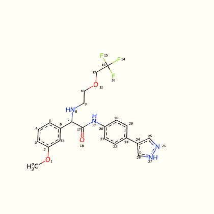 COc1cccc(C(NCCOCC(F)(F)F)C(=O)Nc2ccc(-c3cn[nH]c3)cc2)c1